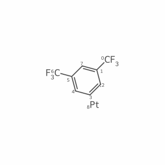 FC(F)(F)c1[c]ccc(C(F)(F)F)c1.[Pt]